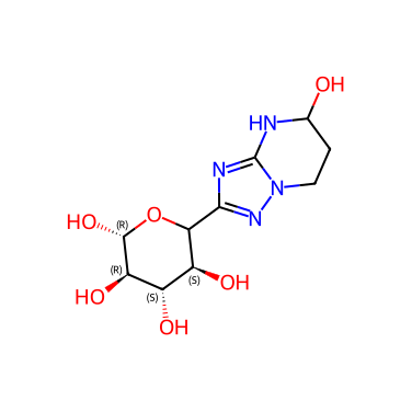 OC1CCn2nc(C3O[C@@H](O)[C@H](O)[C@@H](O)[C@@H]3O)nc2N1